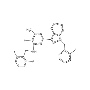 Cc1nc(-c2nn(Cc3ccccc3F)c3ncccc23)nc(NCc2c(F)cccc2F)c1F